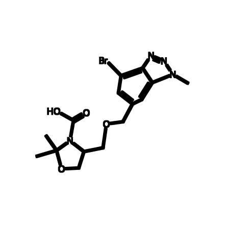 Cn1nnc2c(Br)cc(COCC3COC(C)(C)N3C(=O)O)cc21